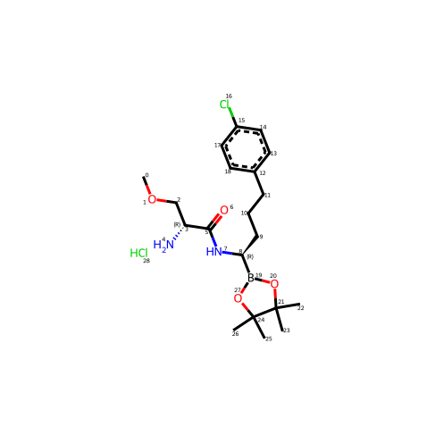 COC[C@@H](N)C(=O)N[C@@H](CCCc1ccc(Cl)cc1)B1OC(C)(C)C(C)(C)O1.Cl